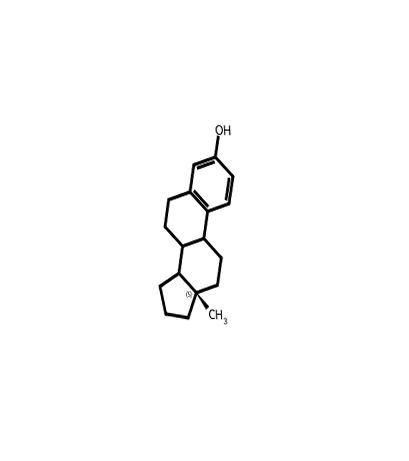 C[C@@]12CCCC1C1CCc3cc(O)ccc3C1CC2